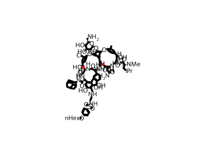 CCCCCCOc1ccc(S(=O)(=O)NCCNCc2c(O)cc3c4c2C(O)(O)c2ccc(cc2-4)[C@H]2NC(=O)[C@@H]4NC(=O)[C@H](CC(N)=O)NC(=O)[C@H](NC(=O)[C@@H](CC(C)C)NC)[C@H](O)c5ccc(c(C)c5)Oc5cc4cc(c5O[C@@H]4O[C@H](CN)[C@@H](O)[C@H](O)[C@H]4O)Oc4ccc(cc4Cl)[C@@H](O)[C@H](NC2=O)C(=O)N[C@@H]3C(=O)NC2C3CC4CC(C3)CC2C4)cc1